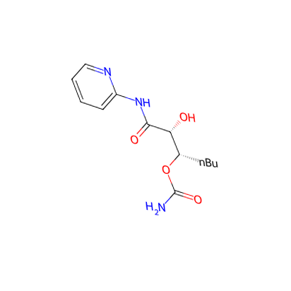 CCCC[C@H](OC(N)=O)[C@@H](O)C(=O)Nc1ccccn1